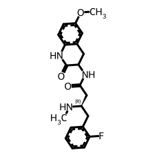 CN[C@@H](CC(=O)NC1Cc2cc(OC)ccc2NC1=O)Cc1ccccc1F